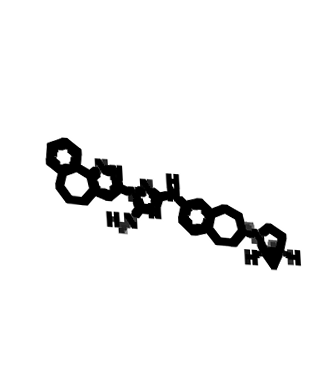 Nc1nc(Nc2ccc3c(c2)CC[C@@H](N2CC[C@H]4C[C@H]42)CC3)nn1-c1cc2c(nn1)-c1ccccc1CCC2